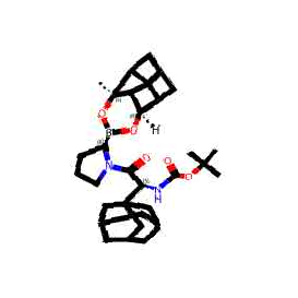 CC(C)(C)OC(=O)N[C@H](C(=O)N1CCC[C@H]1B1O[C@@H]2C3CC4CC5C43C2[C@@]5(C)O1)C12CC3CC(CC(C3)C1)C2